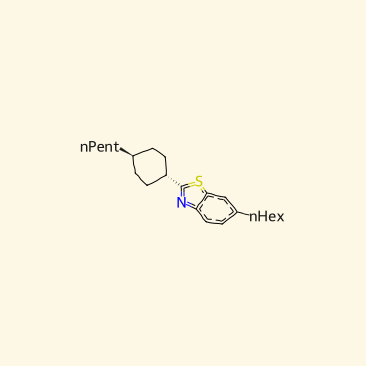 CCCCCCc1ccc2nc([C@H]3CC[C@H](CCCCC)CC3)sc2c1